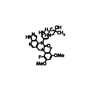 COc1cc(OC)c(F)c(N2Cc3cnc4[nH]ncc4c3N(/C(C=N)=C/NCC(C)(C)O)C2=O)c1F